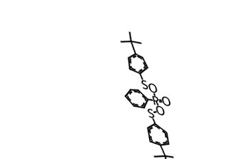 CC(C)(C)c1ccc(SOP(=O)(OSc2ccc(C(C)(C)C)cc2)c2ccccc2)cc1